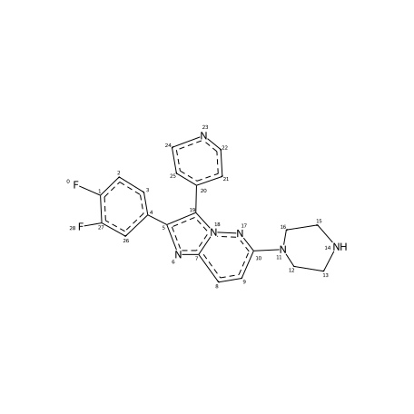 Fc1ccc(-c2nc3ccc(N4CCNCC4)nn3c2-c2ccncc2)cc1F